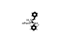 CCCCC[C@H]([SiH2]Cc1ccccc1)[SiH2]c1ccccc1